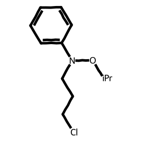 CC(C)ON(CCCCl)c1ccccc1